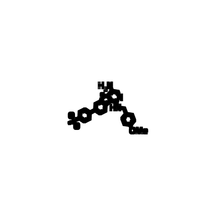 COc1ccc(CNc2ncc(N)c3sc4cc(-c5ccc(S(C)(=O)=O)cc5)ccc4c23)cc1